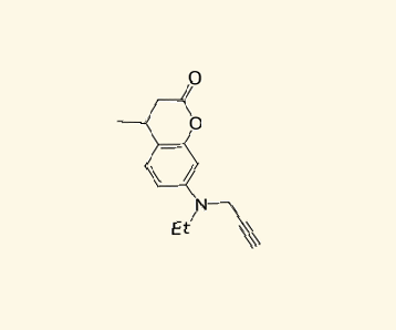 C#CCN(CC)c1ccc2c(c1)OC(=O)CC2C